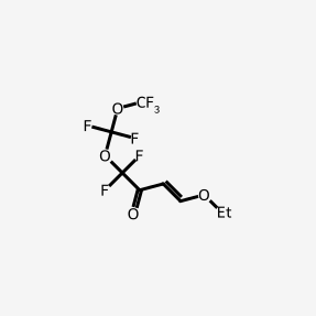 CCO/C=C/C(=O)C(F)(F)OC(F)(F)OC(F)(F)F